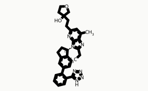 CCc1nc2c(C)cc(CCC3(O)CCOC3)nc2n1[C@H]1CCc2cc(-c3ccccc3-c3nnn[nH]3)ccc21